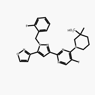 CC1(C(=O)O)CCCN(c2nc(-c3cc(-c4ccon4)n(Cc4ccccc4F)n3)ncc2F)C1